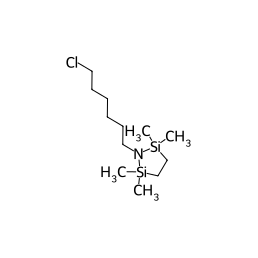 C[Si]1(C)CC[Si](C)(C)N1CCCCCCCl